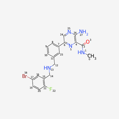 CNC(=O)c1nc(-c2cccc(CNCc3cc(Br)ccc3F)c2)cnc1N